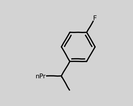 CCC[C](C)c1ccc(F)cc1